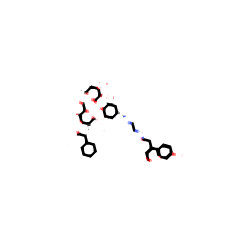 CC[C@H]1C[C@H](CNCCNC(=O)Cc2cc(=O)oc3cc(O)ccc23)C[C@@H](O[C@@H]2OC(CO)[C@H](O)C(O[C@@H](CC3CCCCC3)C(=O)O)C2NC(C)=O)C1OC1O[C@@H](C)[C@H](O)C(O)[C@@H]1O